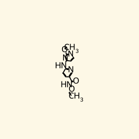 CCONC(=O)c1ccc(Nc2ccnc(OC)n2)nc1